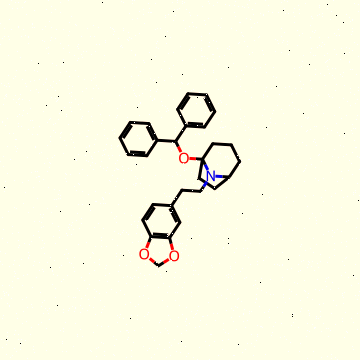 c1ccc(C(OC23CCCC(CC2)N3CCc2ccc3c(c2)OCO3)c2ccccc2)cc1